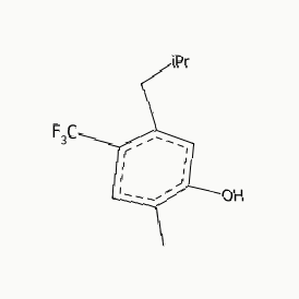 Cc1cc(C(F)(F)F)c(CC(C)C)cc1O